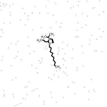 CCCCCCCCCC[n+]1ccn(C(C)C)c1CCC